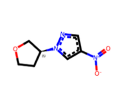 O=[N+]([O-])c1cnn([C@H]2CCOC2)c1